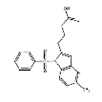 Cc1ccc2c(cc(CCCC(=O)O)n2S(=O)(=O)c2ccccc2)n1